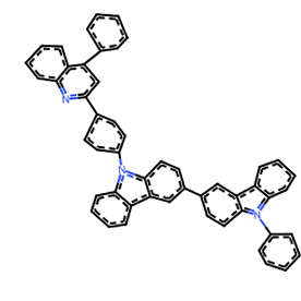 c1ccc(-c2cc(-c3ccc(-n4c5ccccc5c5cc(-c6ccc7c(c6)c6ccccc6n7-c6ccccc6)ccc54)cc3)nc3ccccc23)cc1